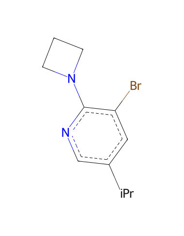 CC(C)c1cnc(N2CCC2)c(Br)c1